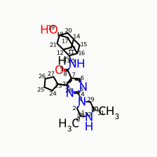 C[C@@H]1CN(c2ncc(C(=O)N[C@H]3C4CC5CC3C[C@@](O)(C5)C4)c(C3CCCC3)n2)C[C@H](C)N1